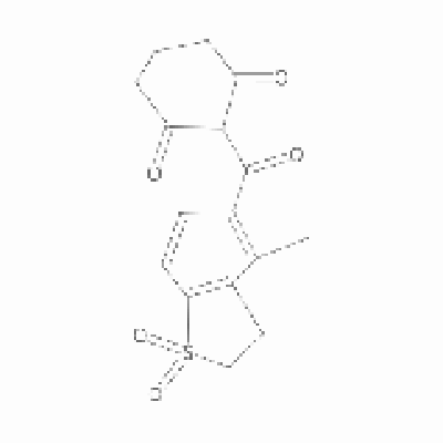 Cc1c(C(=O)C2C(=O)CCCC2=O)ccc2c1CCS2(=O)=O